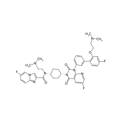 CN(C)CCOc1cc(F)ccc1-c1cccc(-n2c(=O)n([C@H]3CC[C@@H](N(CCN(C)C)C(=O)c4cn5cc(F)ccc5n4)CC3)c(=O)c3cc(F)cnc32)c1